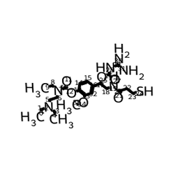 CCN(CC)CCN(CC)C(=O)Oc1ccc(C(CNC(=O)CCS)OC(=O)NC(N)N)cc1OC